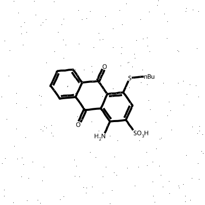 CCCCSc1cc(S(=O)(=O)O)c(N)c2c1C(=O)c1ccccc1C2=O